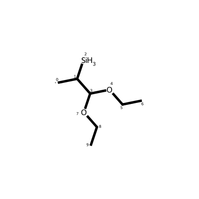 [CH2]C([SiH3])C(OCC)OCC